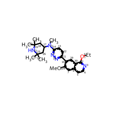 CCOc1nccc2cc(OC)c(-c3ccc(N(C)C4CC(C)(C)NC(C)(C)C4)nn3)cc12